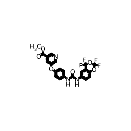 COC(=O)c1cncc(Oc2ccc(NC(=O)Nc3ccc4c(c3)C(F)(F)OC(F)(F)O4)cc2)c1